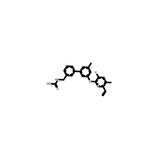 C=Cc1nc(Oc2cc(C)cc(-c3cccc(CNC(=O)O)c3)c2)c(F)cc1F